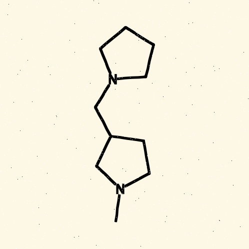 CN1CCC(CN2CCCC2)C1